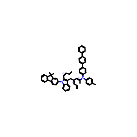 C=C/C=C(\C=C(/C)N(c1ccc(C)cc1)c1ccc(-c2ccc(-c3ccccc3)cc2)cc1)Cc1c(/C=C\CC)n(-c2ccc3c(c2)C(C)(C)c2c#cccc2-3)c2ccccc12